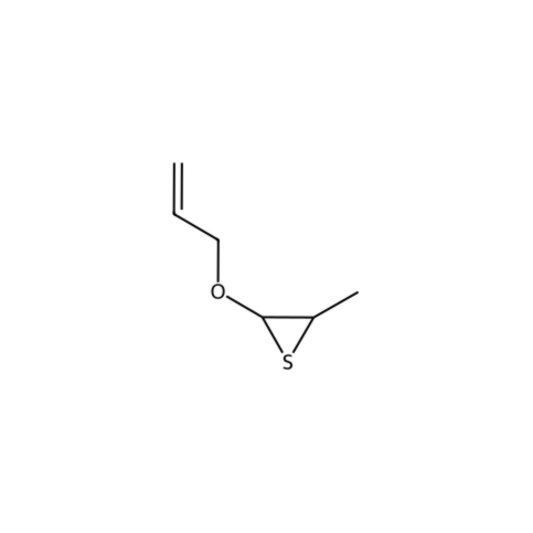 C=CCOC1SC1C